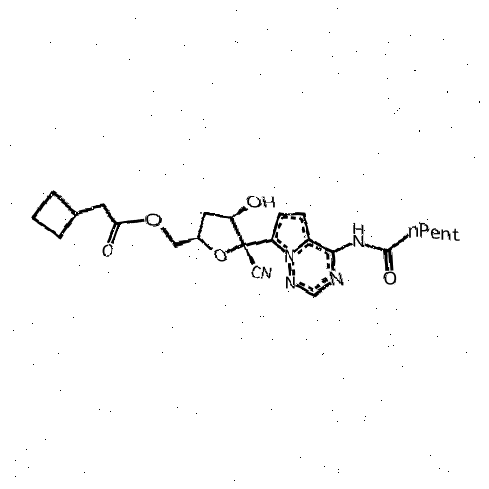 CCCCCC(=O)Nc1ncnn2c([C@]3(C#N)O[C@@H](COC(=O)CC4CCC4)[CH][C@H]3O)ccc12